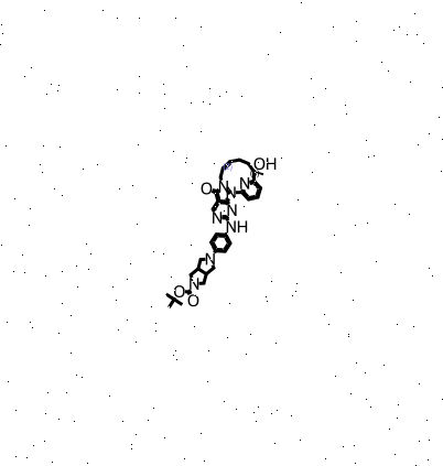 CC(C)(C)OC(=O)N1CC2CN(c3ccc(Nc4ncc5c(=O)n6n(c5n4)-c4cccc(n4)[C@@](C)(O)CC/C=C\C6)cc3)CC2C1